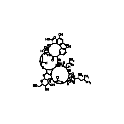 CC(C)C[C@@H](N)C(=O)N[C@H]1C(=O)N[C@@H](CC(N)=O)C(=O)N[C@H]2C(=O)N[C@H]3C(=O)N[C@H](C(=O)N[C@H](C(=O)O)c4cc(O)cc(O)c4-c4cc3ccc4O)[C@H](O)c3ccc(c(Cl)c3)Oc3cc2cc(c3OC2OC(CO)C(O)C(O)C2O)Oc2ccc(cc2Cl)[C@H]1O